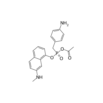 CNc1ccc2cccc(OP(=O)(Cc3ccc(N)cc3)OC(C)=O)c2c1